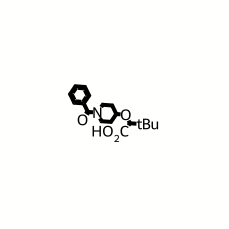 CC(C)(C)C(OC1CCN(C(=O)c2ccccc2)CC1)C(=O)O